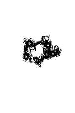 C[C@H]1COCCN1CCCn1nc(-c2ccc(Cl)c(C#Cc3ccc(F)c(CNCc4ccccc4)c3)c2)c2c1CCN(S(C)(=O)=O)C2